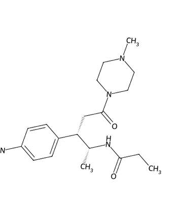 CCC(=O)N[C@H](C)[C@@H](CC(=O)N1CCN(C)CC1)c1ccc(N)cc1